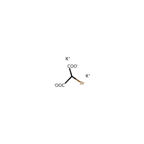 O=C([O-])C(Br)C(=O)[O-].[K+].[K+]